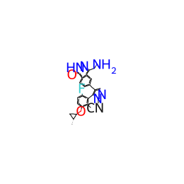 C[C@@H]1C[C@H]1Oc1ccc(F)c(-c2c(-c3ccc4c(=O)[nH]nc(CN)c4c3)cnn2C)c1C#N